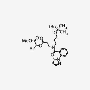 COC(=O)C(OC(=O)CCN(CCCO[Si](C)(C)C(C)(C)C)C(=O)c1ccccc1-n1nccn1)C(C)=O